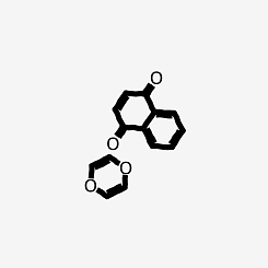 C1=COC=CO1.O=C1C=CC(=O)c2ccccc21